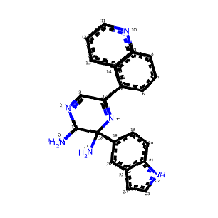 NC1N=CC(c2cccc3ncccc23)=NC1(N)c1ccc2[nH]ccc2c1